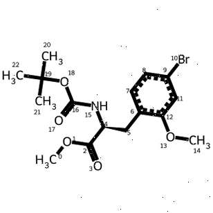 COC(=O)[C@H](Cc1ccc(Br)cc1OC)NC(=O)OC(C)(C)C